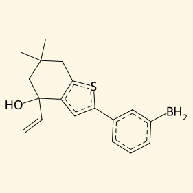 Bc1cccc(-c2cc3c(s2)CC(C)(C)CC3(O)C=C)c1